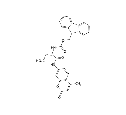 Cc1cc(=O)oc2cc(NC(=O)[C@H](CC(=O)O)NC(=O)OCC3c4ccccc4-c4ccccc43)ccc12